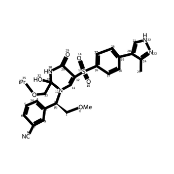 COC[C@@H](c1cccc(C#N)c1)N1C=C(S(=O)(=O)c2ccc(-c3c[nH]nc3C)cc2)C(=O)NC1(O)COC(C)C